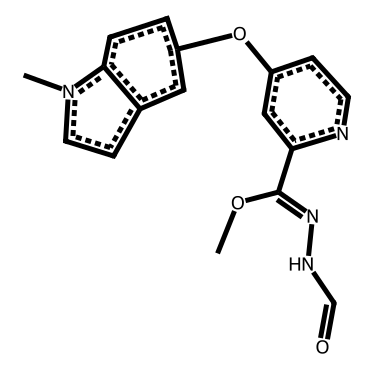 CO/C(=N\NC=O)c1cc(Oc2ccc3c(ccn3C)c2)ccn1